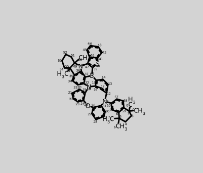 CC1(C)CCC(C)(C)c2cc(N3c4ccc5c(c4)N(c4ccccc4Oc4ccccc43)c3ccc4c6c3B5c3sc5ccccc5c3N6C3(C)CCCCC43C)ccc21